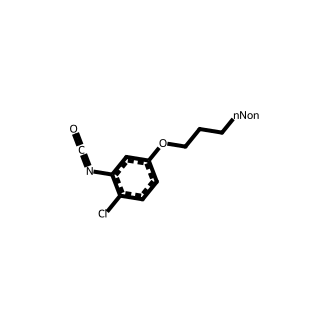 CCCCCCCCCCCCOc1ccc(Cl)c(N=C=O)c1